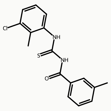 Cc1cccc(C(=O)NC(=S)Nc2cccc(Cl)c2C)c1